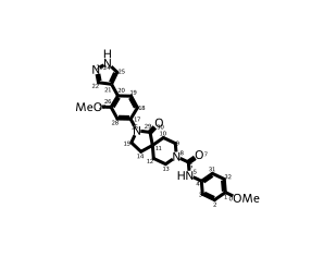 COc1ccc(NC(=O)N2CCC3(CC2)CCN(c2ccc(-c4cn[nH]c4)c(OC)c2)C3=O)cc1